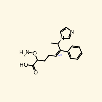 CC(/C(=C\CCC(ON)C(=O)O)c1ccccc1)n1ccnc1